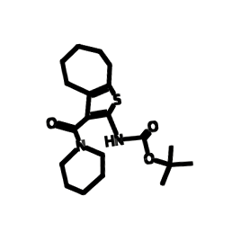 CC(C)(C)OC(=O)Nc1sc2c(c1C(=O)N1CCCCC1)CCCCC2